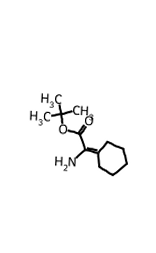 CC(C)(C)OC(=O)C(N)=C1CCCCC1